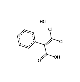 Cl.O=C(O)C(=C(Cl)Cl)c1ccccc1